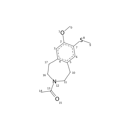 COc1cc2c(cc1SC)CCN(C(C)=O)CC2